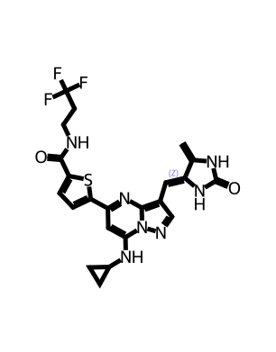 C=c1[nH]c(=O)[nH]/c1=C\c1cnn2c(NC3CC3)cc(-c3ccc(C(=O)NCCC(F)(F)F)s3)nc12